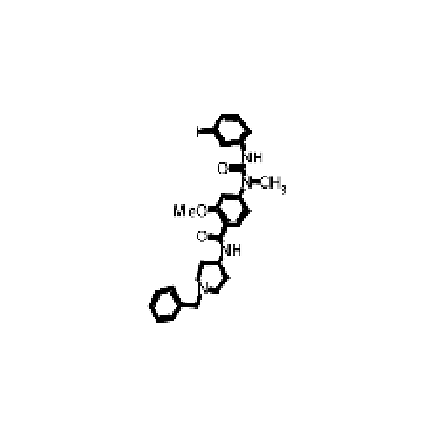 COc1cc(N(C)C(=O)Nc2cccc(I)c2)ccc1C(=O)NC1CCN(Cc2ccccc2)CC1